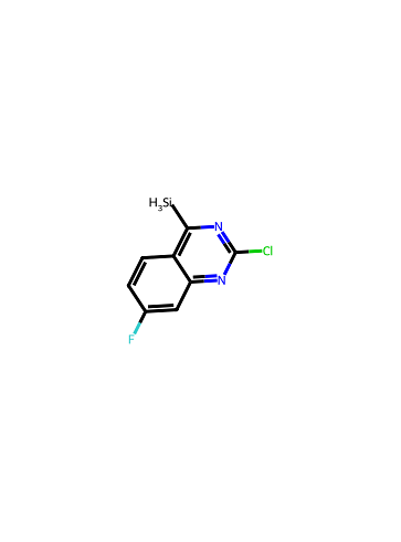 Fc1ccc2c([SiH3])nc(Cl)nc2c1